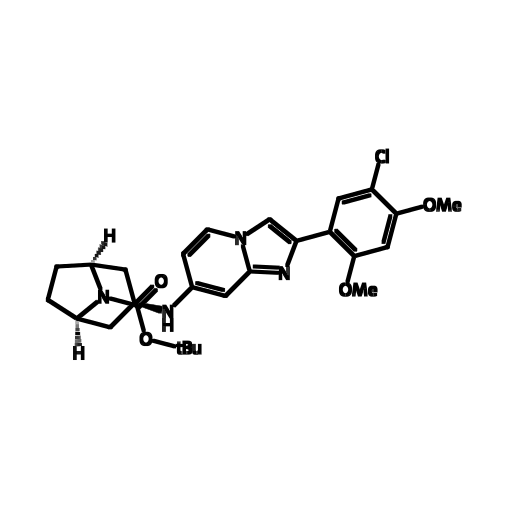 COc1cc(OC)c(-c2cn3ccc(N[C@H]4C[C@H]5CC[C@@H](C4)N5C(=O)OC(C)(C)C)cc3n2)cc1Cl